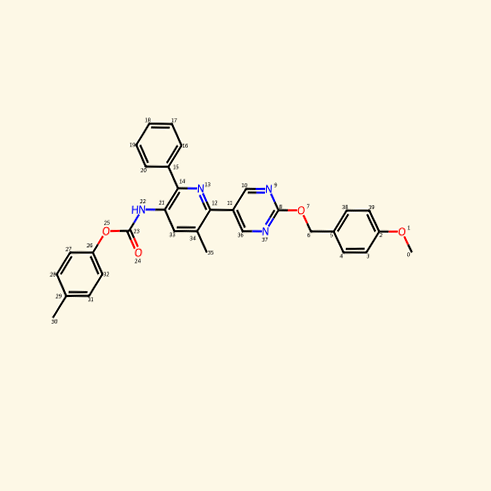 COc1ccc(COc2ncc(-c3nc(-c4ccccc4)c(NC(=O)Oc4ccc(C)cc4)cc3C)cn2)cc1